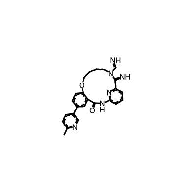 Cc1ccc(-c2ccc3c(c2)C(=O)Nc2cccc(n2)C(=N)N(C=N)CCCCO3)cn1